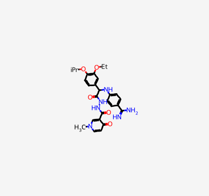 CCOc1cc(C(Nc2ccc(C(=N)N)cc2)C(=O)NNC(=O)c2cn(C)ccc2=O)ccc1OC(C)C